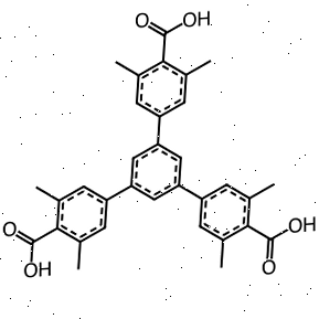 Cc1cc(-c2cc(-c3cc(C)c(C(=O)O)c(C)c3)cc(-c3cc(C)c(C(=O)O)c(C)c3)c2)cc(C)c1C(=O)O